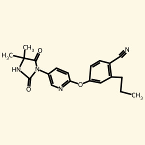 CCCc1cc(Oc2ccc(N3C(=O)NC(C)(C)C3=O)cn2)ccc1C#N